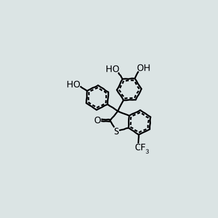 O=C1Sc2c(C(F)(F)F)cccc2C1(c1ccc(O)cc1)c1ccc(O)c(O)c1